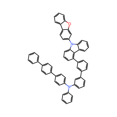 c1ccc(-c2ccc(-c3ccc(N(c4ccccc4)c4cccc(-c5cccc(-c6cccc7c6c6ccccc6n7-c6ccc7c(c6)oc6ccccc67)c5)c4)cc3)cc2)cc1